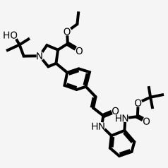 CCOC(=O)C1CN(CC(C)(C)O)CC1c1ccc(/C=C/C(=O)Nc2ccccc2NC(=O)OC(C)(C)C)cc1